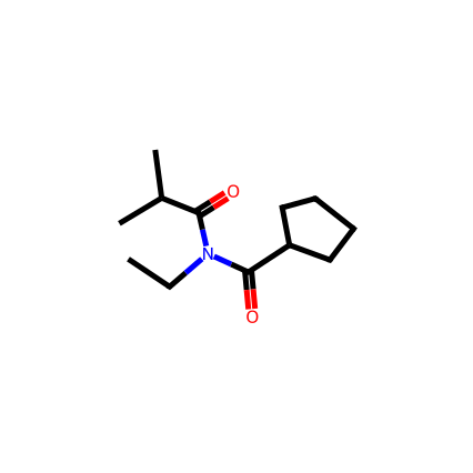 CCN(C(=O)C(C)C)C(=O)C1CCCC1